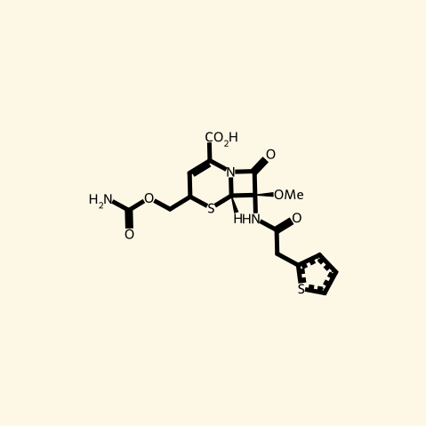 CO[C@]1(NC(=O)Cc2cccs2)C(=O)N2C(C(=O)O)=CC(COC(N)=O)S[C@H]21